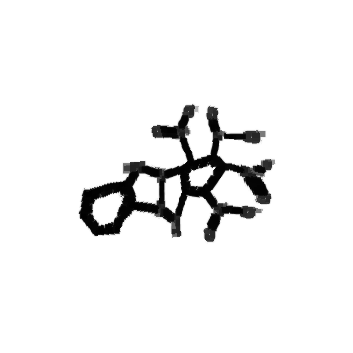 O=[N+]([O-])c1c2c(c([N+](=O)[O-])c([N+](=O)[O-])c1[N+](=O)[O-])N1Nc3ccccc3N1N2